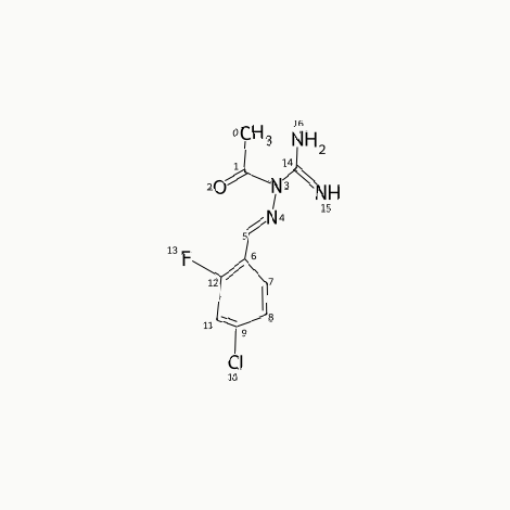 CC(=O)N(/N=C/c1ccc(Cl)cc1F)C(=N)N